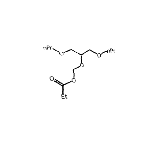 CCCOCC(COCCC)OCOC(=O)CC